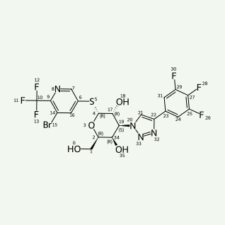 OC[C@H]1O[C@H](Sc2cnc(C(F)(F)F)c(Br)c2)[C@H](O)[C@@H](n2cc(-c3cc(F)c(F)c(F)c3)nn2)[C@H]1O